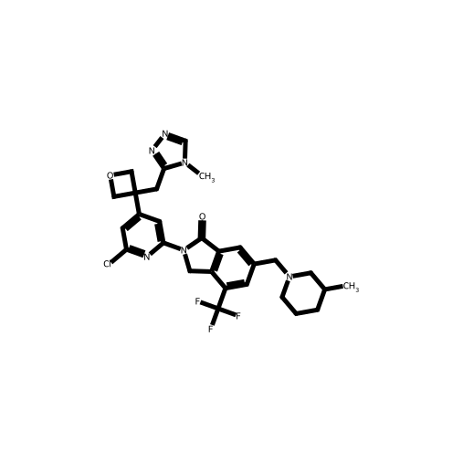 CC1CCCN(Cc2cc3c(c(C(F)(F)F)c2)CN(c2cc(C4(Cc5nncn5C)COC4)cc(Cl)n2)C3=O)C1